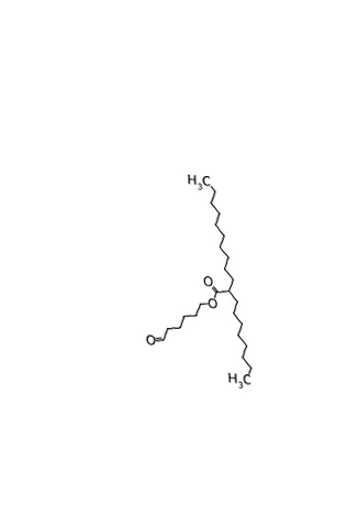 CCCCCCCCCCC(CCCCCCCC)C(=O)OCCCCCC=O